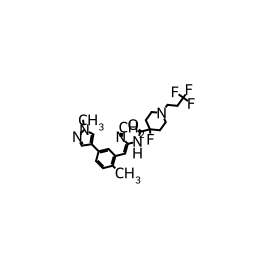 C=N/C(=C\c1cc(-c2cnn(C)c2)ccc1C)NC(=O)C1(F)CCN(CCC(F)(F)F)CC1